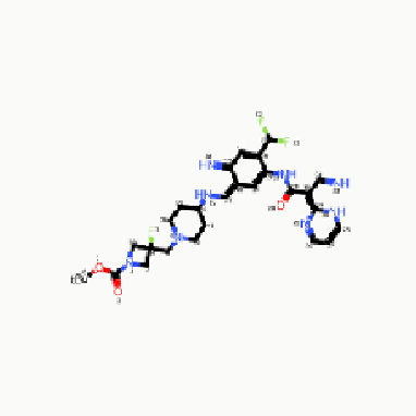 CC(C)(C)OC(=O)N1CC(F)(CN2CCC(N/C=C3/C=C(NC(=O)/C(C=N)=C4\N=CC=CN4)C(C(F)F)=CC3=N)CC2)C1